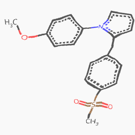 COc1ccc(-n2cccc2-c2ccc(S(C)(=O)=O)cc2)cc1